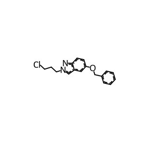 ClCCCn1cc2cc(OCc3ccccc3)ccc2n1